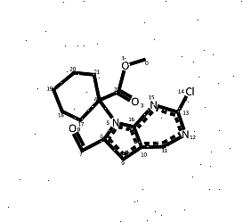 COC(=O)C1(n2c(C=O)cc3cnc(Cl)nc32)CCCCC1